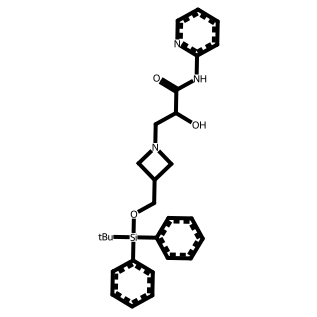 CC(C)(C)[Si](OCC1CN(CC(O)C(=O)Nc2ccccn2)C1)(c1ccccc1)c1ccccc1